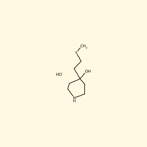 CSCCC1(O)CCNCC1.Cl